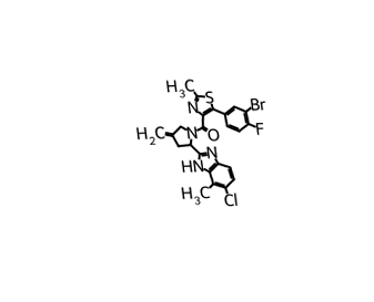 C=C1CC(c2nc3ccc(Cl)c(C)c3[nH]2)N(C(=O)c2nc(C)sc2-c2ccc(F)c(Br)c2)C1